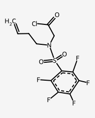 C=CCCN(CC(=O)Cl)S(=O)(=O)c1c(F)c(F)c(F)c(F)c1F